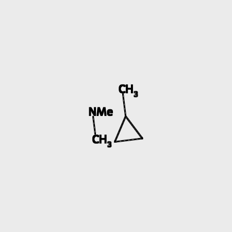 CC1CC1.CNC